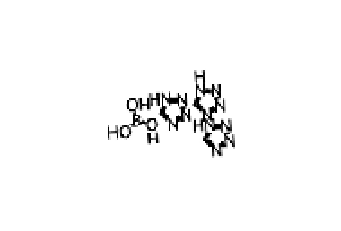 OB(O)O.c1nnn[nH]1.c1nnn[nH]1.c1nnn[nH]1